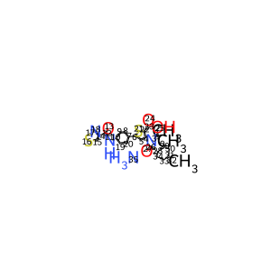 CC(C)N(c1cc(-c2ccc(NC(=O)c3cscn3)cc2)sc1C(=O)O)C(=O)[C@H]1CC[C@H](C)CC1.N